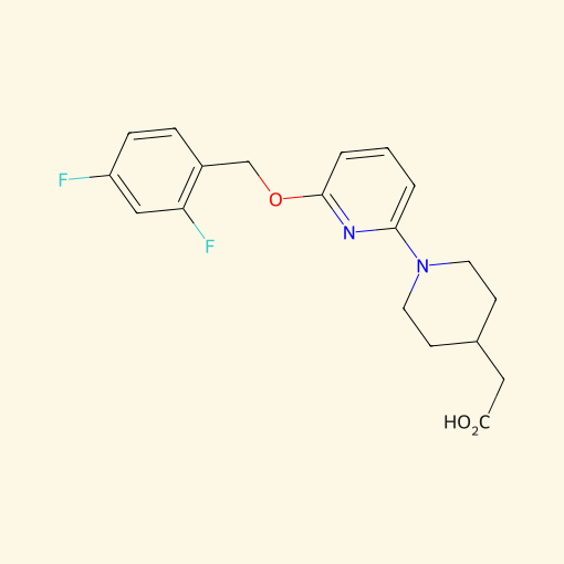 O=C(O)CC1CCN(c2cccc(OCc3ccc(F)cc3F)n2)CC1